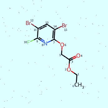 CCOC(=O)COc1nc(F)c(Br)cc1Br